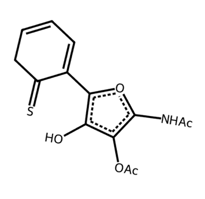 CC(=O)Nc1oc(C2=CC=CCC2=S)c(O)c1OC(C)=O